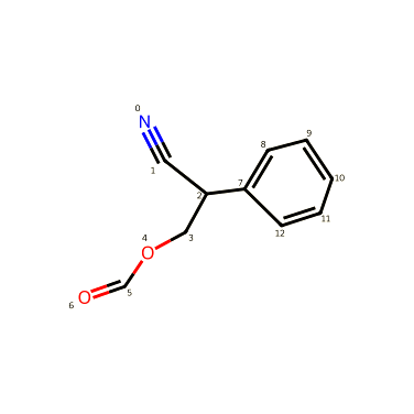 N#CC(COC=O)c1ccccc1